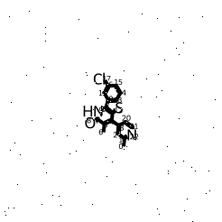 Cc1cc(-c2c(C)c(=O)[nH]c3c2sc2ccc(Cl)cc23)ccn1